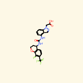 O=C(O)Cn1ncc2c(NC(=O)NC3CCOc4c3ccc(C(F)(F)F)c4F)cccc21